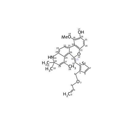 C=CCOCc1ccsc1/C=C1\Oc2ccc(O)c(OC)c2-c2ccc3c(c21)C(C)=CC(C)(C)N3